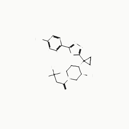 Cc1ccc(-c2nnc(C3([C@@H]4CCN(C(=O)[C@H](C)C(F)(F)F)C[C@@H]4C)CC3)o2)cc1